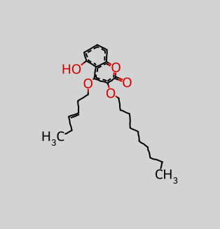 CC/C=C/CCOc1c(OCCCCCCCCCC)c(=O)oc2cccc(O)c12